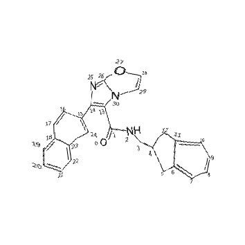 O=C(NCC1Cc2ccccc2C1)c1c(-c2ccc3ccccc3c2)nc2occn12